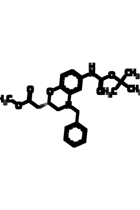 COC(=O)C[C@H]1CN(Cc2ccccc2)c2cc(NC(=O)OC(C)(C)C)ccc2O1